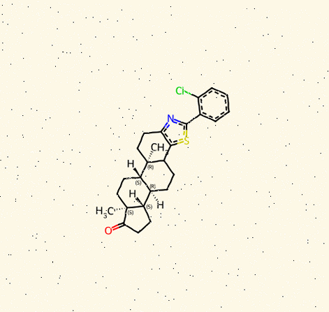 C[C@]12CCc3nc(-c4ccccc4Cl)sc3C1CC[C@@H]1[C@@H]2CC[C@]2(C)C(=O)CC[C@@H]12